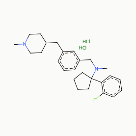 CN1CCC(Cc2cccc(CN(C)C3(c4ccccc4F)CCCC3)c2)CC1.Cl.Cl